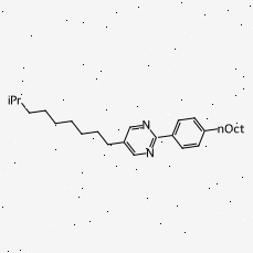 CCCCCCCCc1ccc(-c2ncc(CCCCCCCC(C)C)cn2)cc1